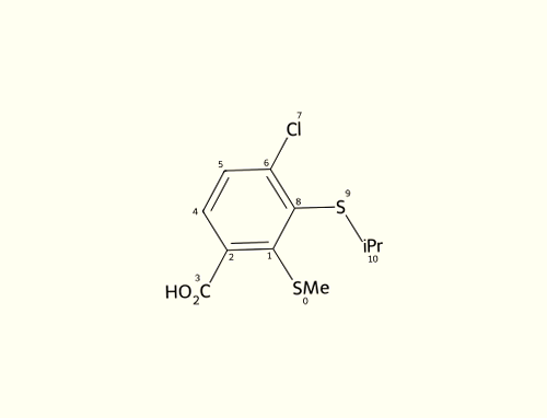 CSc1c(C(=O)O)ccc(Cl)c1SC(C)C